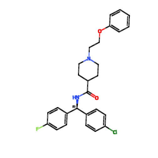 O=C(N[C@H](c1ccc(F)cc1)c1ccc(Cl)cc1)C1CCN(CCOc2ccccc2)CC1